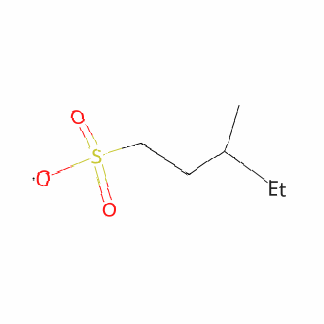 CCC(C)CCS([O])(=O)=O